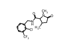 CC1CC(=O)N(C)C1C(=O)NCc1cccc(C(F)(F)F)c1Cl